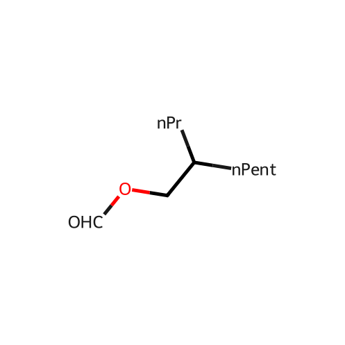 CCCCCC(CCC)COC=O